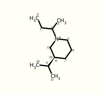 CCC(C)N1CCC[C@@H](C(C)C)C1